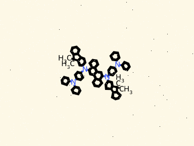 CC1(C)c2ccccc2-c2ccc(N(c3ccc(N(c4ccccc4)c4ccccc4)cc3)c3cc4c5ccccc5c(N(c5ccc(N(c6ccccc6)c6ccccc6)cc5)c5ccc6c(c5)C(C)(C)c5ccccc5-6)cc4c4ccccc34)cc21